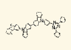 c1ccc(-c2nc(-c3ccccc3)nc(-c3ccc(-n4c5ccccc5c5cc(-c6ccc7c(c6)c6ccccc6n7-c6ccc7sc8cccnc8c7c6)ccc54)cc3)n2)cc1